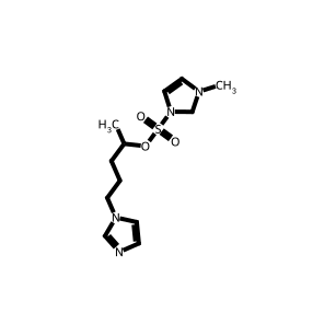 CC(CCCn1ccnc1)OS(=O)(=O)N1C=CN(C)C1